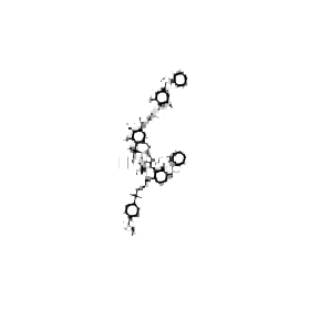 CCOc1ccc(C(C)(C)CCCc2ccc(F)c(Oc3ccccc3)c2N(CCCc2cc(SCCOc3c(C)cc(Oc4ccccc4)cc3C)c(Cl)c(C)c2C(C)(C)C)C(=O)O)cc1